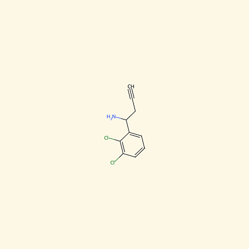 C#CCC(N)c1cccc(Cl)c1Cl